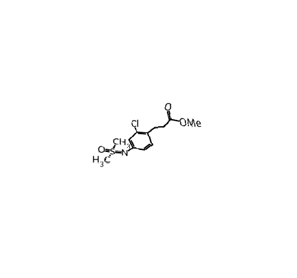 COC(=O)CCc1ccc(N=S(C)(C)=O)cc1Cl